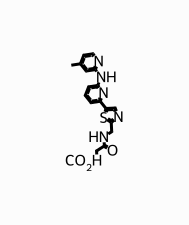 Cc1ccnc(Nc2cccc(-c3cnc(CNC(=O)CC(=O)O)s3)n2)c1